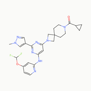 Cn1cc(-c2nc(Nc3cc(OC(F)F)ccn3)cc(N3CC4(CCN(C(=O)C5CC5)CC4)C3)n2)cn1